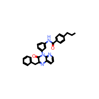 CCCc1ccc(C(=O)Nc2cccc(-n3c(=O)c(Cc4ccccc4)nc4cccnc43)c2)cc1